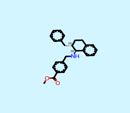 COC(=O)c1ccc(CN[C@@H]2c3ccccc3CC[C@H]2Cc2ccccc2)cc1